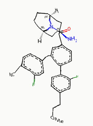 COCCc1ccc(-c2ccc(C(=O)N3[C@@H]4CC[C@H]3C[C@@H](N)C4)cc2-c2ccc(C#N)c(F)c2)c(F)c1